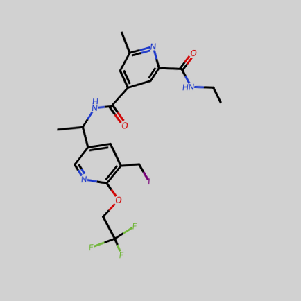 CCNC(=O)c1cc(C(=O)NC(C)c2cnc(OCC(F)(F)F)c(CI)c2)cc(C)n1